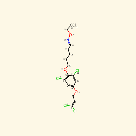 ClC(Cl)=CCOc1cc(Cl)c(OCCCC/C=N/OCC(Cl)(Cl)Cl)c(Cl)c1